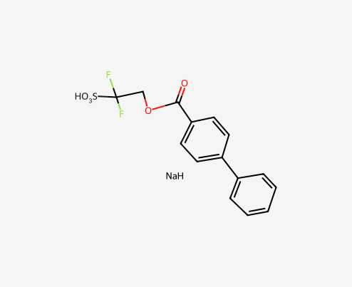 O=C(OCC(F)(F)S(=O)(=O)O)c1ccc(-c2ccccc2)cc1.[NaH]